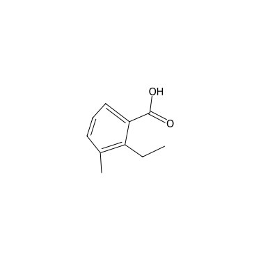 CCc1c(C)cccc1C(=O)O